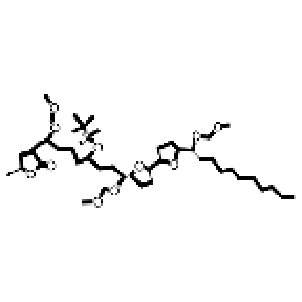 CCCCCCCCCC[C@@H](OCOC)C1CC[C@H]([C@H]2CC[C@H](C(CCC(CCCC(CC3=C[C@H](C)OC3=O)OCOC)O[Si](C)(C)C(C)(C)C)OCOC)O2)O1